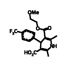 COCCOC(=O)C1=C(C)NC(C)=C(C(=O)O)C1c1ccc(C(F)(F)F)cc1